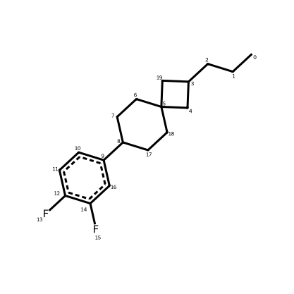 CCCC1CC2(CCC(c3ccc(F)c(F)c3)CC2)C1